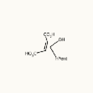 CCCCCCO.O=C(O)/C=C\C(=O)O